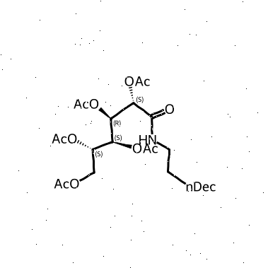 CCCCCCCCCCCCNC(=O)[C@@H](OC(C)=O)[C@H](OC(C)=O)[C@@H](OC(C)=O)[C@H](COC(C)=O)OC(C)=O